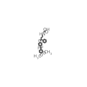 COc1ccc(C(F)(F)c2ccc(OC(CCCNCC(=O)O)c3ccccc3)cc2)cc1OC